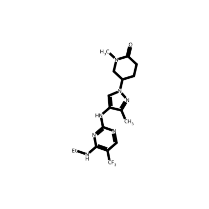 CCNc1nc(Nc2cn(C3CCC(=O)N(C)C3)nc2C)ncc1C(F)(F)F